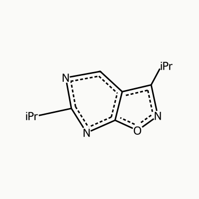 CC(C)c1ncc2c(C(C)C)noc2n1